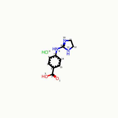 Cl.O=C(O)c1ccc(NC2=NCCN2)cc1